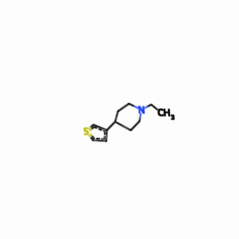 CCN1CCC(c2ccsc2)CC1